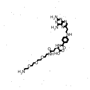 NCCOCCOCCOCCNC(=O)CC[C@@H](NC(=O)c1ccc(NCCc2cnc3nc(N)nc(N)c3n2)cc1)C(=O)O